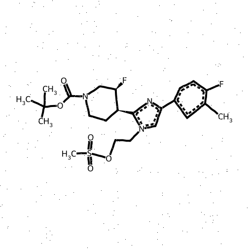 Cc1cc(-c2cn(CCOS(C)(=O)=O)c([C@H]3CCN(C(=O)OC(C)(C)C)C[C@H]3F)n2)ccc1F